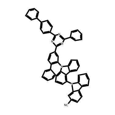 N#Cc1ccc2c3ccccc3n(-c3cccc4c3c3ccccc3n4-c3cc(-c4nc(-c5ccccc5)nc(-c5ccc(-c6ccccc6)cc5)n4)ccc3-c3ccccc3)c2c1